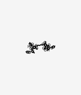 C=C1C[C@H](CO[Si](C)(C)C(C)(C)C)N(C(=O)c2cc(OC)c(OCCCCCOc3cc(NC(=O)OC(C)(C)C)c(C(=O)N4CC(=C)C[C@@H]4CO[Si](C)(C)C(C)(C)C)cc3OC)cc2NC(=O)O)C1